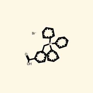 O=C(O)c1cccc(C[P+](c2ccccc2)(c2ccccc2)c2ccccc2)c1.[Br-]